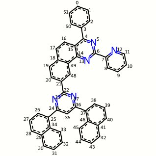 c1ccc(-c2nc(-c3ccccn3)nc3c2ccc2ccc(-c4nc(-c5cccc6ccccc56)cc(-c5cccc6ccccc56)n4)cc23)cc1